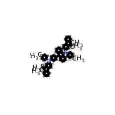 Cc1ccc(N(c2ccc(-c3c4ccccc4c(N(c4ccc(C)cc4)c4ccc5c(c4)C(C)(C)c4ccccc4-5)c4ccccc34)cc2)c2ccc3c(c2)C(C)(C)c2ccccc2-3)cc1